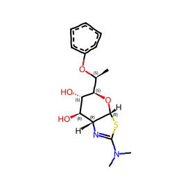 C[C@H](Oc1ccccc1)[C@H]1O[C@@H]2SC(N(C)C)=N[C@@H]2[C@@H](O)[C@@H]1O